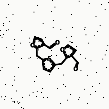 O=Cc1ccoc1Cc1ccc(Cc2occc2C=O)s1